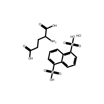 Cl.NC(CCC(=O)O)C(=O)O.O=S(=O)(O)c1cccc2c(S(=O)(=O)O)cccc12